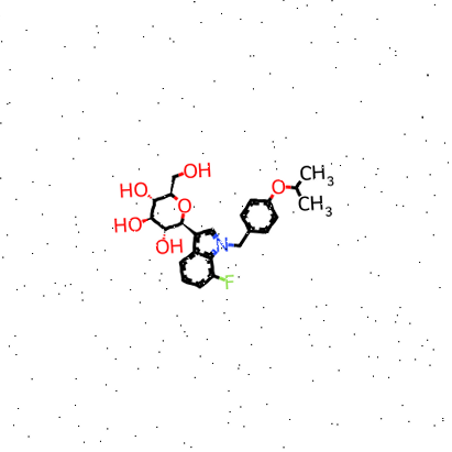 CC(C)Oc1ccc(Cn2cc([C@@H]3O[C@H](CO)[C@@H](O)[C@H](O)[C@H]3O)c3cccc(F)c32)cc1